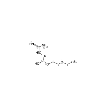 CC(C)(C)COCCOB(O)ONC(=N)N